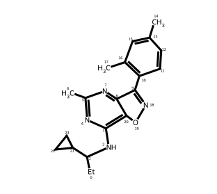 CCC(Nc1nc(C)nc2c(-c3ccc(C)cc3C)noc12)C1CC1